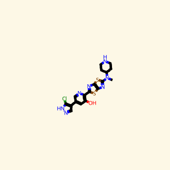 CN(c1nc2sc(-c3ncc(-c4cn[nH]c4Cl)cc3O)nc2s1)C1CCNCC1